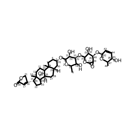 CC1OC(O[C@H]2CCC3(C)C4CCC5(C)[C@@H](C6=CC(=O)OC6)CC[C@]5(O)[C@@H]4CC[C@H]3C2)[C@@H](O)[C@@H](OC2OC3OC3[C@H](O[C@H]3C=C[C@@H](O)C(C)O3)[C@@H]2O)C1O